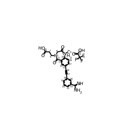 CN1C(=O)CN(CCC(=O)O)C(=O)c2cc(C#Cc3cccc(C(=N)N)c3)ccc21.O=C(O)C(F)(F)F